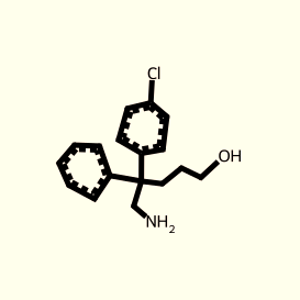 NCC(CCCO)(c1ccccc1)c1ccc(Cl)cc1